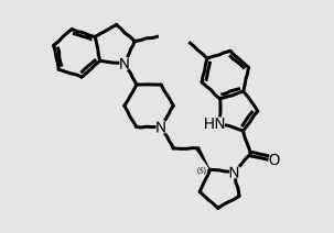 Cc1ccc2cc(C(=O)N3CCC[C@H]3CCN3CCC(N4c5ccccc5CC4C)CC3)[nH]c2c1